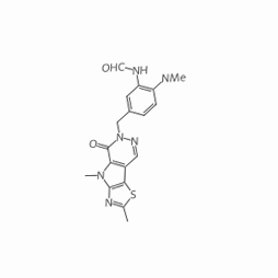 CNc1ccc(Cn2ncc3c4sc(C)nc4n(C)c3c2=O)cc1NC=O